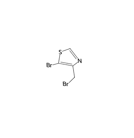 BrCc1ncsc1Br